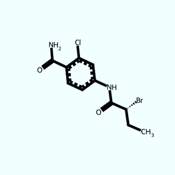 CC[C@@H](Br)C(=O)Nc1ccc(C(N)=O)c(Cl)c1